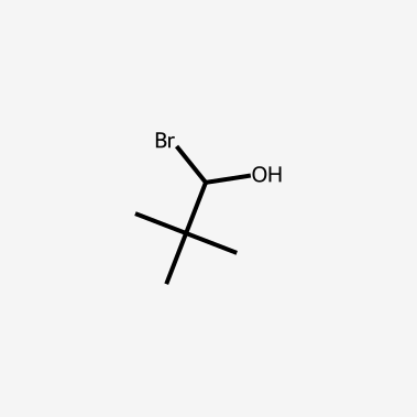 CC(C)(C)C(O)Br